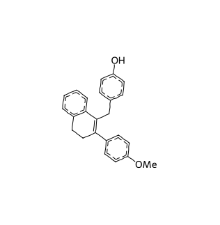 COc1ccc(C2=C(Cc3ccc(O)cc3)c3ccccc3CC2)cc1